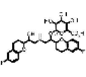 O=C(O)C1O[C@@H](OC(CNCC(O)C2CCc3cc(F)ccc3O2)C2CCc3cc(F)ccc3O2)C(O)C(O)C1O